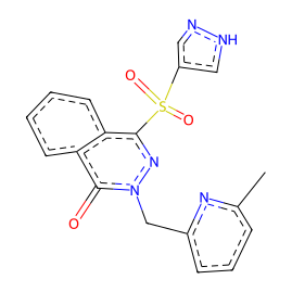 Cc1cccc(Cn2nc(S(=O)(=O)c3cn[nH]c3)c3ccccc3c2=O)n1